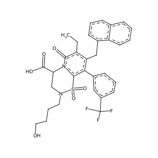 CCc1c(Cc2cccc3ccccc23)c(-c2cccc(C(F)(F)F)c2)c2n(c1=O)C(C(=O)O)CN(CCCCO)S2(=O)=O